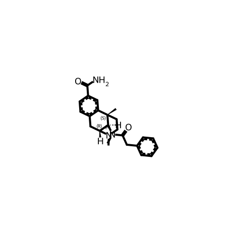 CN1CC[C@@]2(C)c3cc(C(N)=O)ccc3C[C@@H]1[C@@H]2N(C)C(=O)Cc1ccccc1